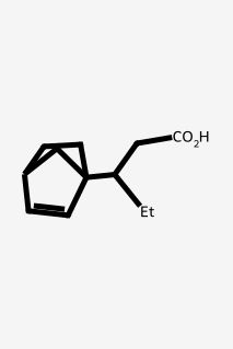 CCC(CC(=O)O)C12C=CC(CC1)C2